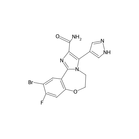 NC(=O)c1nc2n(c1-c1cn[nH]c1)CCOc1cc(F)c(Br)cc1-2